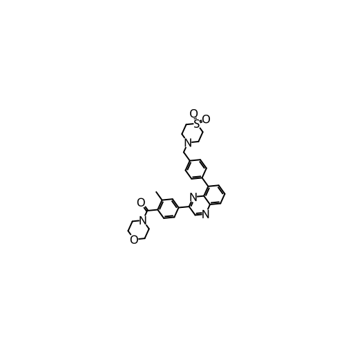 Cc1cc(-c2cnc3cccc(-c4ccc(CN5CCS(=O)(=O)CC5)cc4)c3n2)ccc1C(=O)N1CCOCC1